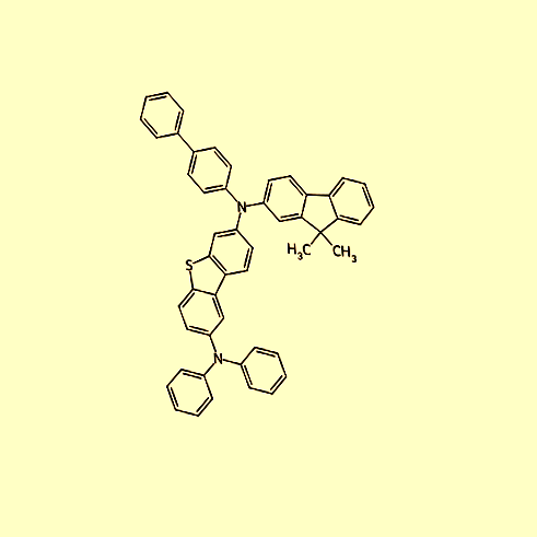 CC1(C)c2ccccc2-c2ccc(N(c3ccc(-c4ccccc4)cc3)c3ccc4c(c3)sc3ccc(N(c5ccccc5)c5ccccc5)cc34)cc21